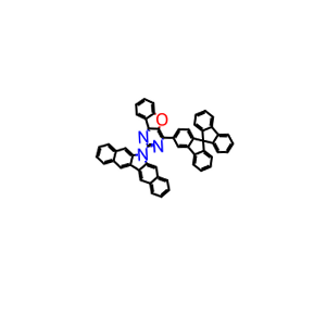 c1ccc2c(c1)-c1ccccc1C21c2ccccc2-c2cc(-c3nc(-n4c5cc6ccccc6cc5c5cc6ccccc6cc54)nc4c3oc3ccccc34)ccc21